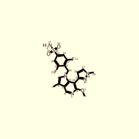 COc1ncc2c(C)cn(Cc3c(F)cc(S(N)(=O)=O)cc3F)c2c1-c1ccn(C)n1